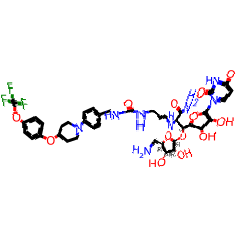 NC[C@H]1O[C@@H](O[C@@H](C(NCCCNC(=O)NCc2ccc(N3CCC(Oc4ccc(OC(F)(F)F)cc4)CC3)cc2)C(N)=O)C2OC(n3ccc(=O)[nH]c3=O)C(O)C2O)[C@H](O)[C@@H]1O